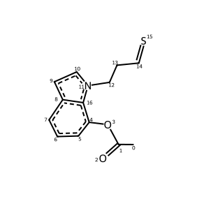 CC(=O)Oc1cccc2ccn(CCC=S)c12